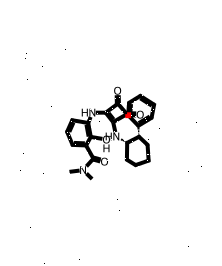 CN(C)C(=O)c1cccc(Nc2c(N[C@H]3CCCC[C@H]3c3ccccc3)c(=O)c2=O)c1O